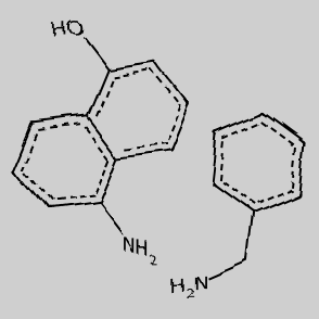 NCc1ccccc1.Nc1cccc2c(O)cccc12